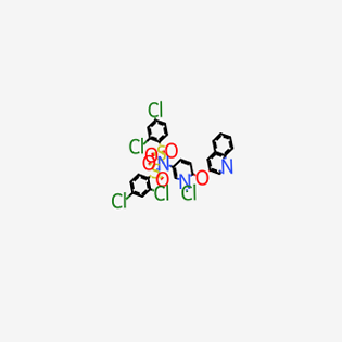 O=S(=O)(c1ccc(Cl)cc1Cl)N(C1=CN(Cl)C(Oc2cnc3ccccc3c2)C=C1)S(=O)(=O)c1ccc(Cl)cc1Cl